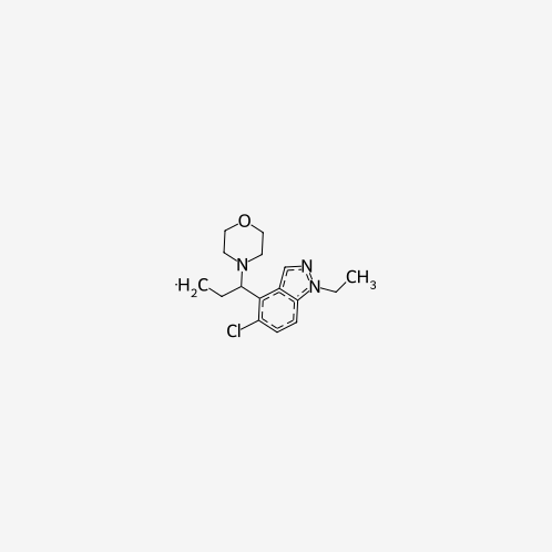 [CH2]CC(c1c(Cl)ccc2c1cnn2CC)N1CCOCC1